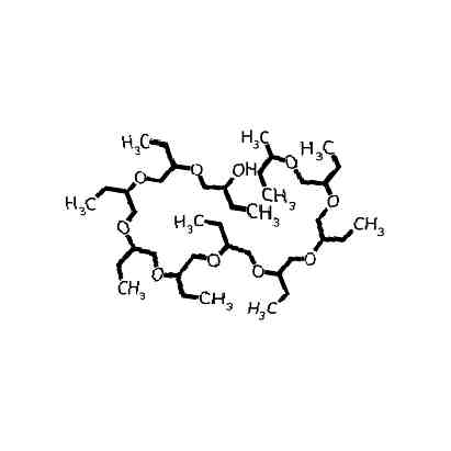 CCC(O)COC(CC)COC(CC)COC(CC)COC(CC)COC(CC)COC(CC)COC(CC)COC(CC)COC(C)CC